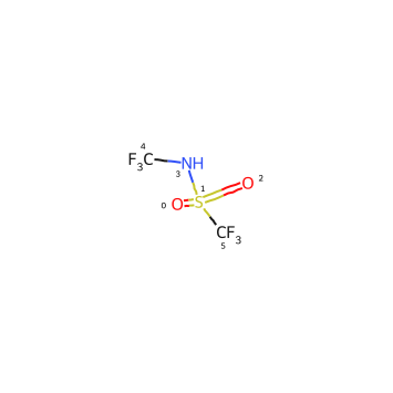 O=S(=O)(NC(F)(F)F)C(F)(F)F